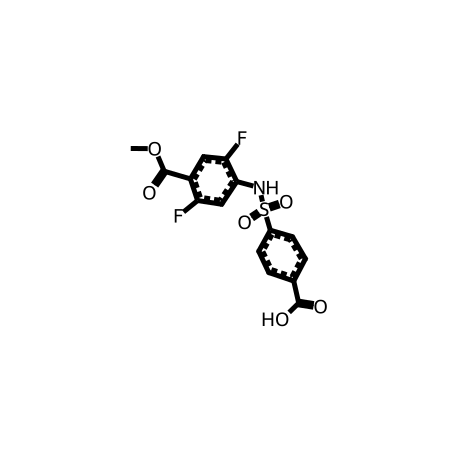 COC(=O)c1cc(F)c(NS(=O)(=O)c2ccc(C(=O)O)cc2)cc1F